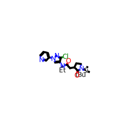 CCN(C(=O)CC1CCN([Si](C)(C)C(C)(C)C)C1=O)c1cn(-c2cccnc2)nc1Cl